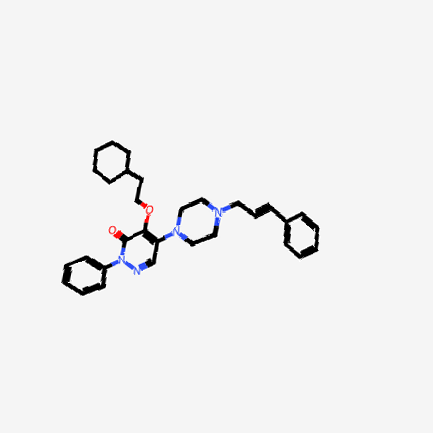 O=c1c(OCCC2CCCCC2)c(N2CCN(C/C=C/c3ccccc3)CC2)cnn1-c1ccccc1